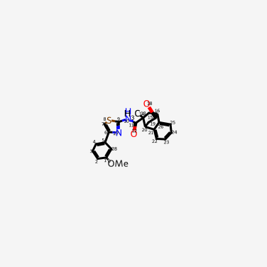 COc1cccc(-c2csc(NC(=O)C3(C)CC4C(=O)CC3c3ccccc34)n2)c1